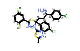 Cc1nnc(N2N=C(c3cc(F)ccc3F)SC2(CCC(N)c2ccc(Cl)cc2)c2ccc(Cl)cc2)s1